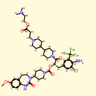 COc1ccc2c(c1)CCN(C1CCN(C(=O)O[C@H](Cc3cc(Cl)c(N)c(C(F)(F)F)c3)C(=O)N3CCC(C4CCN(CCC(=O)OCCN(C)C)CC4)CC3)CC1)C(=O)N2